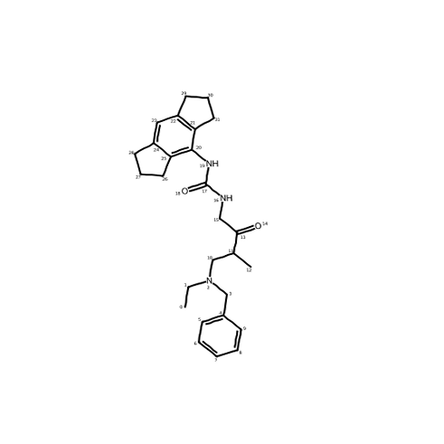 CCN(Cc1ccccc1)CC(C)C(=O)CNC(=O)Nc1c2c(cc3c1CCC3)CCC2